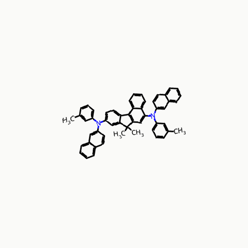 Cc1cccc(N(c2ccc3c(c2)C(C)(C)c2cc(N(c4cccc(C)c4)c4ccc5ccccc5c4)c4ccccc4c2-3)c2ccc3ccccc3c2)c1